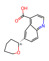 O=C(O)c1ccnc2ccc([C@H]3CCCCO3)cc12